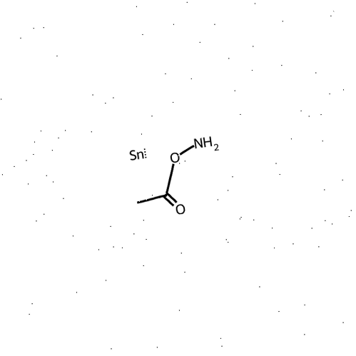 CC(=O)ON.[Sn]